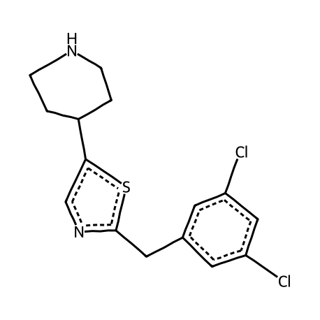 Clc1cc(Cl)cc(Cc2ncc(C3CCNCC3)s2)c1